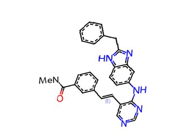 CNC(=O)c1cccc(/C=C/c2cncnc2Nc2ccc3[nH]c(Cc4ccccc4)nc3c2)c1